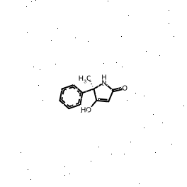 C[C@]1(c2ccccc2)NC(=O)C=C1O